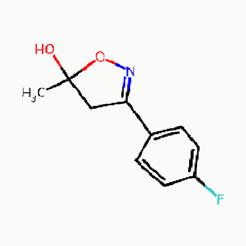 CC1(O)CC(c2ccc(F)cc2)=NO1